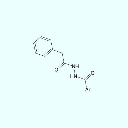 CC(=O)C(=O)NNC(=O)Cc1ccccc1